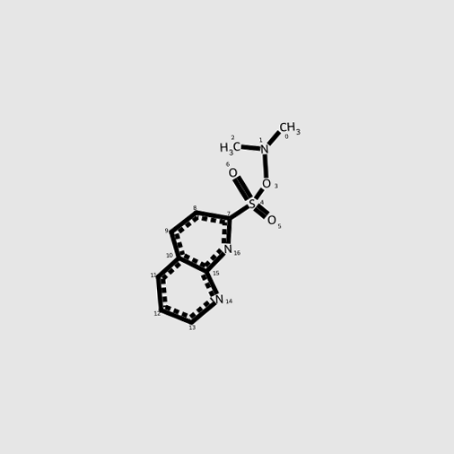 CN(C)OS(=O)(=O)c1ccc2cccnc2n1